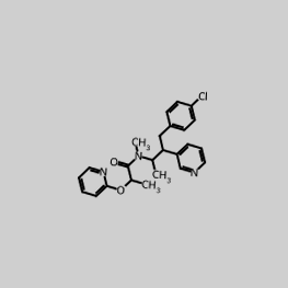 CC(Oc1ccccn1)C(=O)N(C)C(C)C(Cc1ccc(Cl)cc1)c1cccnc1